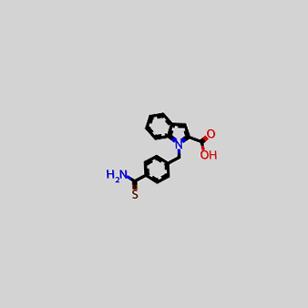 NC(=S)c1ccc(Cn2c(C(=O)O)cc3ccccc32)cc1